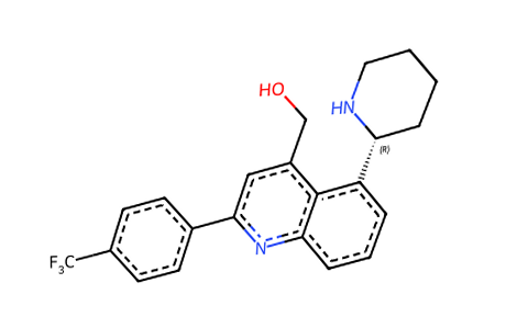 OCc1cc(-c2ccc(C(F)(F)F)cc2)nc2cccc([C@H]3CCCCN3)c12